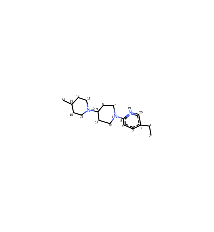 CCc1ccc(N2CCC(N3CCC(C)CC3)CC2)nc1